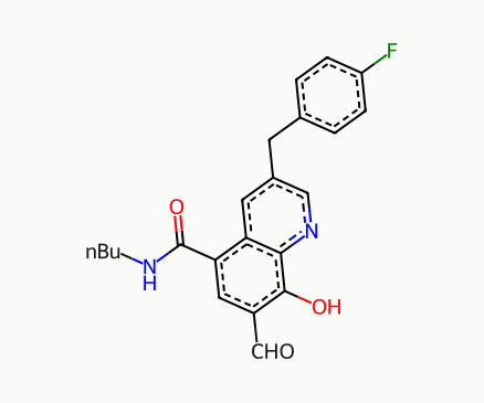 CCCCNC(=O)c1cc(C=O)c(O)c2ncc(Cc3ccc(F)cc3)cc12